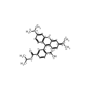 CC(C)OC(=O)c1ccc(C(=O)O)c(-c2c3ccc(=[N+](C)C)cc-3oc3cc(N(C)C)ccc23)c1